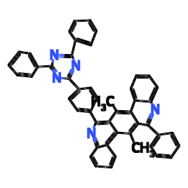 Cc1c2c(-c3ccc(-c4nc(-c5ccccc5)nc(-c5ccccc5)n4)cc3)nc3ccccc3c2c(C)c2c(-c3ccccc3)nc3ccccc3c12